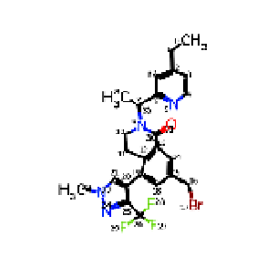 CCc1ccnc([C@H](C)N2CCc3c(cc(CBr)cc3-c3cn(C)nc3C(F)(F)F)C2=O)c1